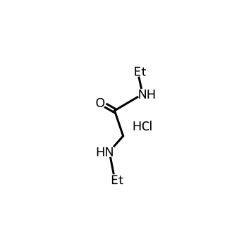 CCNCC(=O)NCC.Cl